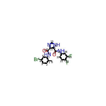 Cc1ccc(Br)cc1NC(=O)c1nc[nH]c1C(=O)Nc1ccc(F)c(F)c1